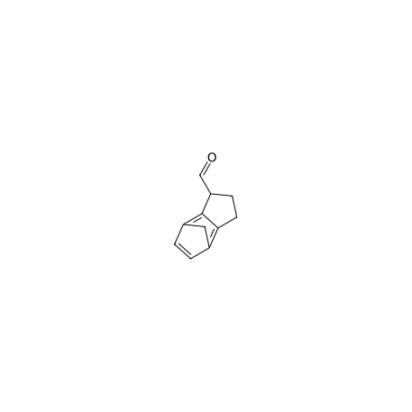 O=CC1CCC2=C3C=CC(=C21)C3